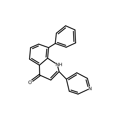 O=c1cc(-c2ccncc2)[nH]c2c(-c3ccccc3)cccc12